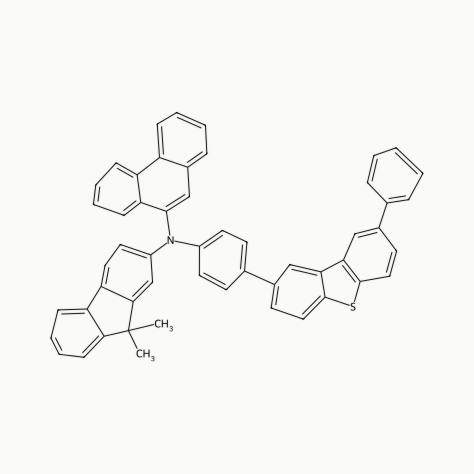 CC1(C)c2ccccc2-c2ccc(N(c3ccc(-c4ccc5sc6ccc(-c7ccccc7)cc6c5c4)cc3)c3cc4ccccc4c4ccccc34)cc21